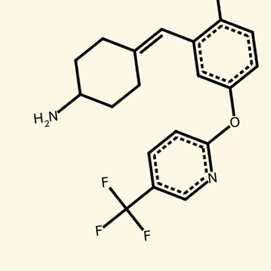 NC1CCC(=Cc2cc(Oc3ccc(C(F)(F)F)cn3)ccc2F)CC1